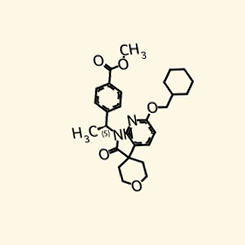 COC(=O)c1ccc([C@H](C)NC(=O)C2(c3ccc(OCC4CCCCC4)nc3)CCOCC2)cc1